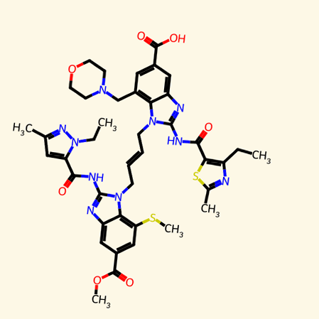 CCc1nc(C)sc1C(=O)Nc1nc2cc(C(=O)O)cc(CN3CCOCC3)c2n1CC=CCn1c(NC(=O)c2cc(C)nn2CC)nc2cc(C(=O)OC)cc(SC)c21